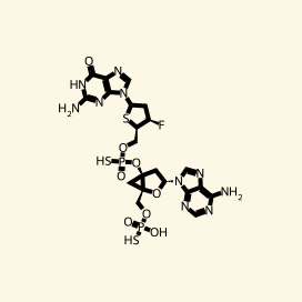 Nc1nc2c(ncn2C2C[C@@H](F)[C@@H](COP(=O)(S)O[C@@]34C[C@H](n5cnc6c(N)ncnc65)O[C@]3(COP(=O)(O)S)C4)S2)c(=O)[nH]1